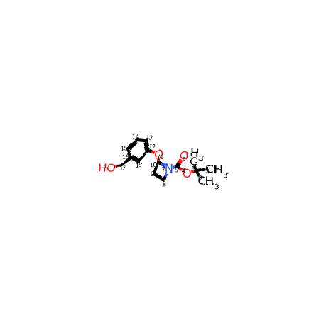 CC(C)(C)OC(=O)N1CCC1Oc1cccc(CO)c1